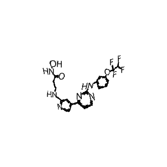 O=C(CCNc1cc(-c2ccnc(Nc3cccc(OC(F)(F)C(F)F)c3)n2)ccn1)NO